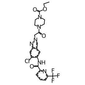 CCOC(=O)N1CCN(C(=O)Cn2cc3cc(NC(=O)c4cccc(C(F)(F)F)n4)c(Cl)cc3n2)CC1